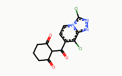 O=C1CCCC(=O)C1C(=O)c1ccn2c(Cl)nnc2c1Cl